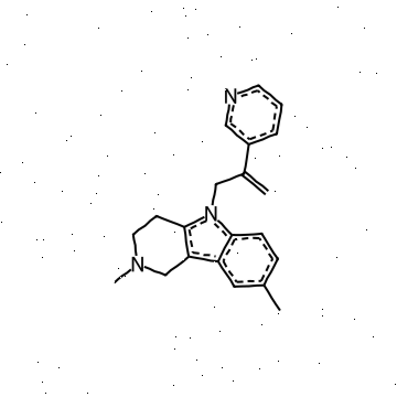 C=C(Cn1c2c(c3cc(C)ccc31)CN(C)CC2)c1cccnc1